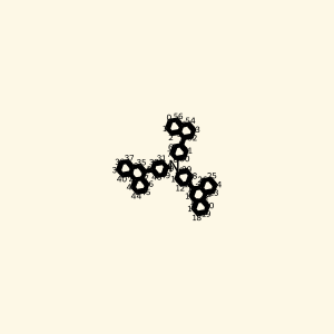 c1ccc2c(-c3ccc(N(c4ccc(-c5cc6ccccc6c6ccccc56)cc4)c4ccc(-c5cc6ccccc6c6ccccc56)cc4)cc3)cccc2c1